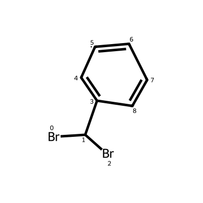 BrC(Br)c1c[c]ccc1